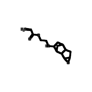 C=CC(=O)OCCNC1CC2CC1C1C2CC2OC21